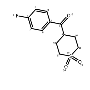 O=C(c1ccc(F)cc1)C1CCS(=O)(=O)CC1